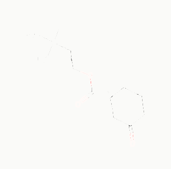 C[Si](C)(C)CCOC(=O)[C@@H]1CCCC(=O)C1